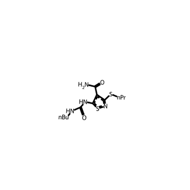 CCCCNC(=O)Nc1snc(SCCC)c1C(N)=O